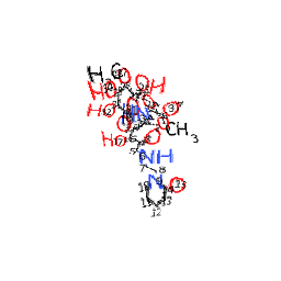 COC1OC(CNCCn2ccccc2=O)C(O)C(OC2OC(C(=O)O)C(OC)C(O)C2O)C1NCC=O